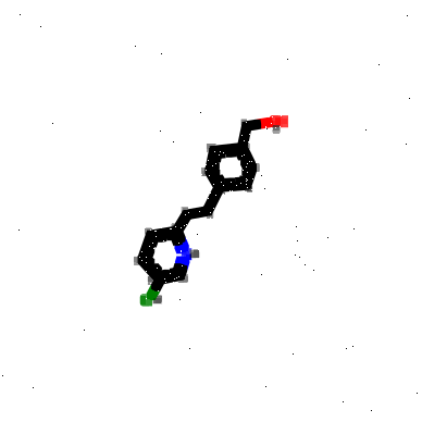 OCc1ccc(CCc2ccc(Cl)cn2)cc1